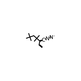 C=CC(=C=[N+]=[N-])C(C)(C)CC(C)(C)C